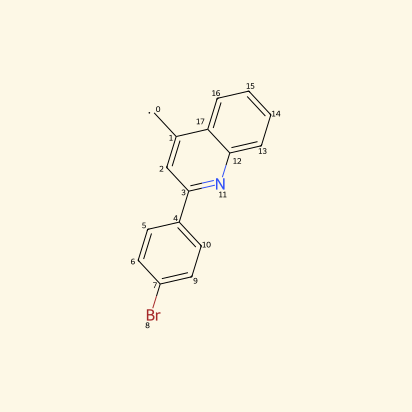 [CH2]c1cc(-c2ccc(Br)cc2)nc2ccccc12